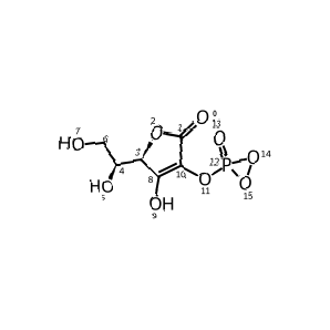 O=C1O[C@H]([C@@H](O)CO)C(O)=C1OP1(=O)OO1